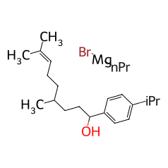 CC(C)=CCCC(C)CCC(O)c1ccc(C(C)C)cc1.CC[CH2][Mg][Br]